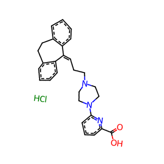 Cl.O=C(O)c1cccc(N2CCN(CCC=C3c4ccccc4CCc4ccccc43)CC2)n1